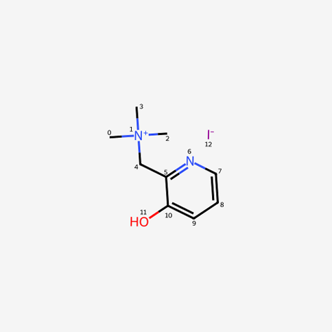 C[N+](C)(C)Cc1ncccc1O.[I-]